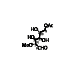 CO[C@@H](C=O)[C@@H](O)[C@H](O)[C@H](O)COC(C)=O